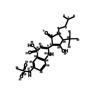 CC(C)CCN1C(=O)C(C2=NP(=O)(O)c3cc(NS(C)(=O)=O)ccc3N2)=C(O)C1C(C)(C)C